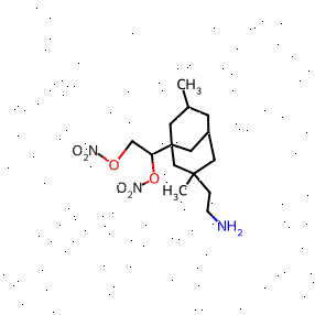 CC1CC2CC(C)(CCN)CC(C(CO[N+](=O)[O-])O[N+](=O)[O-])(C1)C2